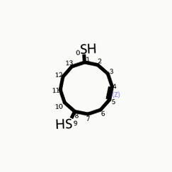 SC1CC/C=C\CCC(S)CCCC1